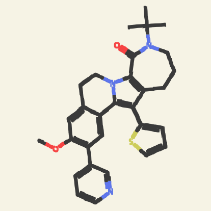 COc1cc2c(cc1-c1cccnc1)-c1c(-c3cccs3)c3c(n1CC2)C(=O)N(C(C)(C)C)CCC3